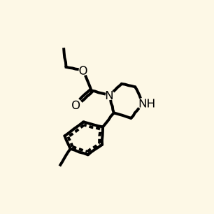 CCOC(=O)N1CCNCC1c1ccc(C)cc1